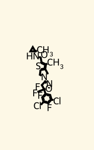 Cc1c(C(=O)NC2(C)CC2)sc2c1CN(C1=NOC(c3cc(Cl)c(F)c(Cl)c3)(C(F)(F)F)C1)C2